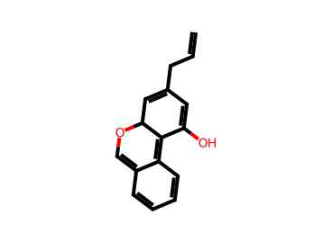 C=CCC1=CC2OC=c3ccccc3=C2C(O)=C1